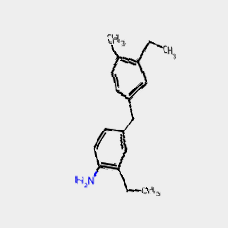 CCc1cc(Cc2ccc(N)c(CC)c2)ccc1C